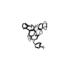 O=C1[C@@H]2Cc3c([nH]c4ccccc34)[C@H](c3ccc4c(c3)OCCO4)N2C(=O)CN1Cc1ccc(F)cc1